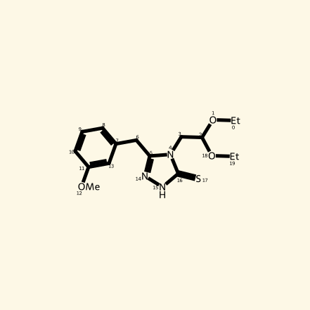 CCOC(Cn1c(Cc2cccc(OC)c2)n[nH]c1=S)OCC